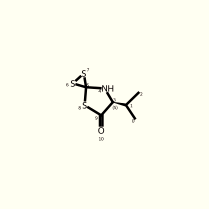 CC(C)[C@@H]1NC2(SS2)SC1=O